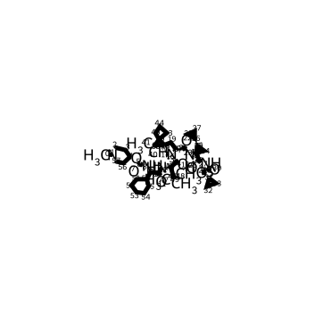 CN1CCC(OC(=O)N[C@H](C(=O)N[C@H](C(=O)N2C[C@]3(C[C@H]2C(=O)N[C@]2(C(=O)NS(=O)(=O)C4CC4)C[C@H]2C2CC2)C(C)(C)C32CCC2)C(C)(C)C)C2CCCCC2)CC1